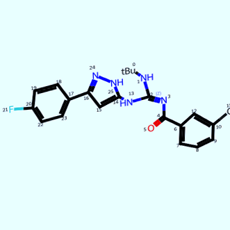 CC(C)(C)N/C(=N/C(=O)c1cccc(C#N)c1)Nc1cc(-c2ccc(F)cc2)n[nH]1